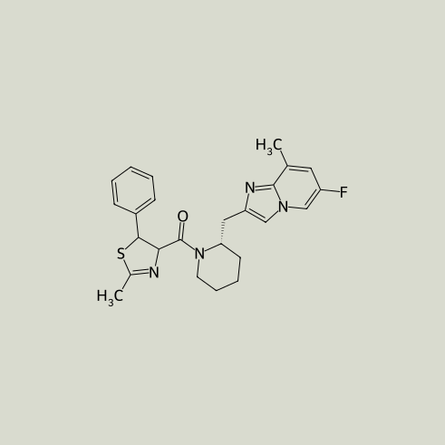 CC1=NC(C(=O)N2CCCC[C@H]2Cc2cn3cc(F)cc(C)c3n2)C(c2ccccc2)S1